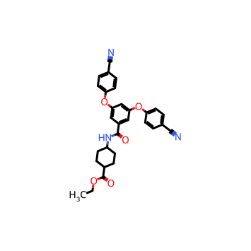 CCOC(=O)C1CCC(NC(=O)c2cc(Oc3ccc(C#N)cc3)cc(Oc3ccc(C#N)cc3)c2)CC1